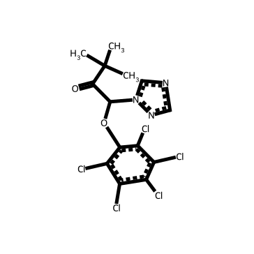 CC(C)(C)C(=O)C(Oc1c(Cl)c(Cl)c(Cl)c(Cl)c1Cl)n1cncn1